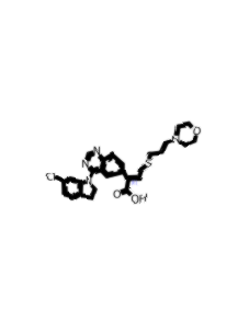 O=C(O)/C(=C/CSCCCN1CCOCC1)c1ccc2ncnc(N3CCc4ccc(Cl)cc43)c2c1